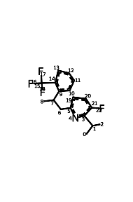 CC(C)c1nc(CC(C)c2ccccc2C(F)(F)F)ccc1F